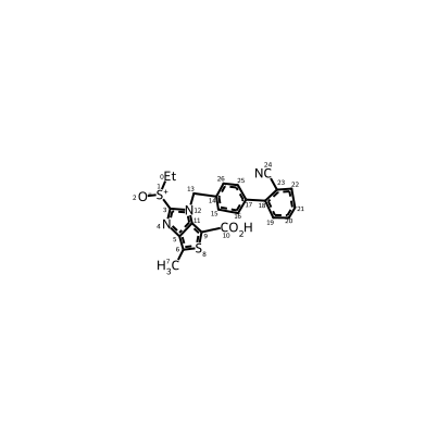 CC[S+]([O-])c1nc2c(C)sc(C(=O)O)c2n1Cc1ccc(-c2ccccc2C#N)cc1